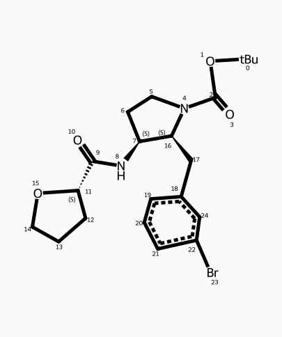 CC(C)(C)OC(=O)N1CC[C@H](NC(=O)[C@@H]2CCCO2)[C@@H]1Cc1cccc(Br)c1